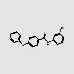 CC(C)c1cccc(NC(=O)c2ccc(Oc3ccccc3)cc2)c1